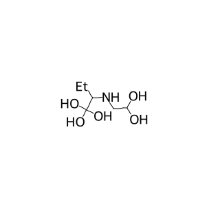 CCC(NCC(O)O)C(O)(O)O